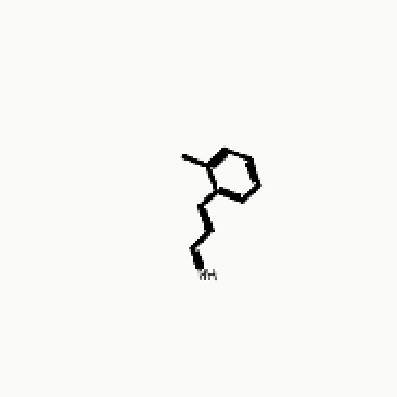 Cc1ccccc1C=CC=N